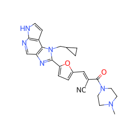 CN1CCN(C(=O)/C(C#N)=C/c2ccc(-c3nc4cnc5[nH]ccc5c4n3CC3CC3)o2)CC1